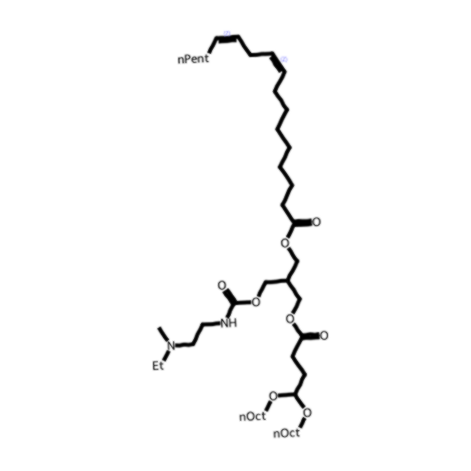 CCCCC/C=C\C/C=C\CCCCCCCC(=O)OCC(COC(=O)CCC(OCCCCCCCC)OCCCCCCCC)COC(=O)NCCN(C)CC